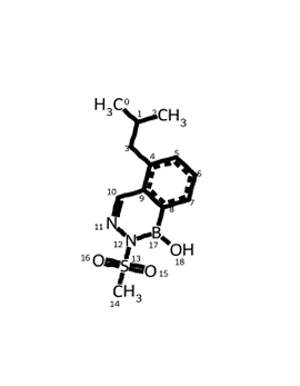 CC(C)Cc1cccc2c1C=NN(S(C)(=O)=O)B2O